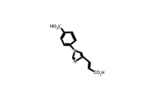 O=C(O)C=Cc1cn(-c2ccc(C(=O)O)cc2)cn1